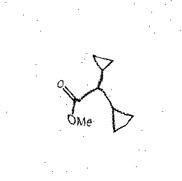 COC(=O)C(C1CC1)C1CC1